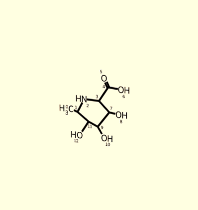 CC1NC(C(=O)O)C(O)C(O)C1O